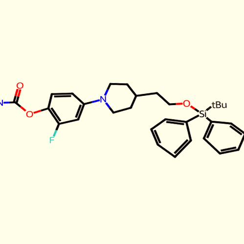 CC(C)(C)[Si](OCCC1CCN(c2ccc(OC(N)=O)c(F)c2)CC1)(c1ccccc1)c1ccccc1